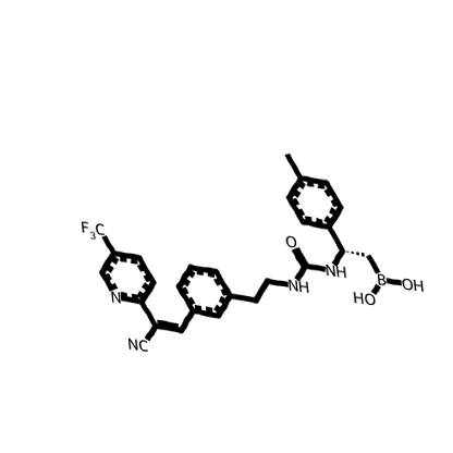 Cc1ccc([C@H](CB(O)O)NC(=O)NCCc2cccc(C=C(C#N)c3ccc(C(F)(F)F)cn3)c2)cc1